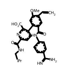 C=Cc1cc(C(=O)Nc2ccc(C(=N)N)cc2)c(-c2ccc(C(=O)NCC(C)C)nc2C(=O)O)cc1OC